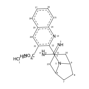 Cl.Cl.N=C(N)N1C2CCC1CC(c1nc3ccccc3cc1C(=O)O)C2